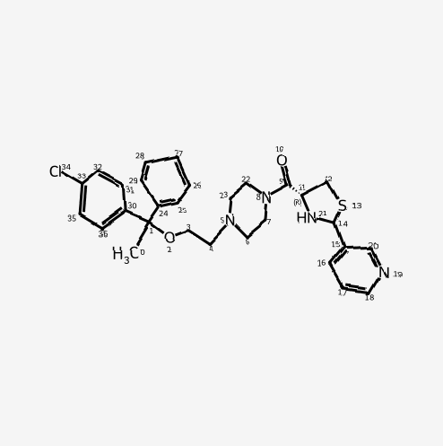 CC(OCCN1CCN(C(=O)[C@@H]2CSC(c3cccnc3)N2)CC1)(c1ccccc1)c1ccc(Cl)cc1